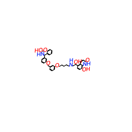 O=C(O)NC(c1ccccc1)c1cccc(OCc2cccc(OCCCCCNCC(O)c3ccc(O)c4[nH]c(=O)ccc34)c2)c1